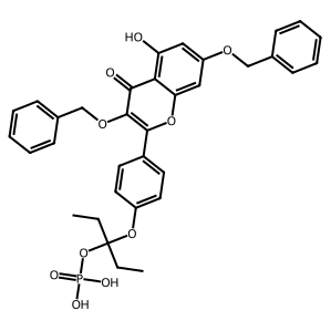 CCC(CC)(Oc1ccc(-c2oc3cc(OCc4ccccc4)cc(O)c3c(=O)c2OCc2ccccc2)cc1)OP(=O)(O)O